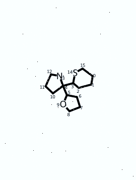 C1CCC(C2(C3CCCO3)CCC[N]2)SC1